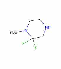 CCCCN1CCNCC1(F)F